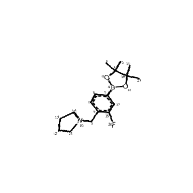 CC1(C)OB(c2ccc(CN3CCCC3)c(F)c2)OC1(C)C